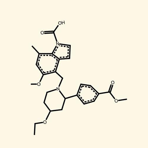 CCOC1CCN(Cc2c(OC)cc(C)c3c2ccn3C(=O)O)C(c2ccc(C(=O)OC)cc2)C1